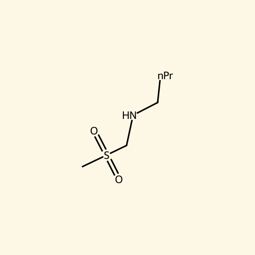 CCCCNCS(C)(=O)=O